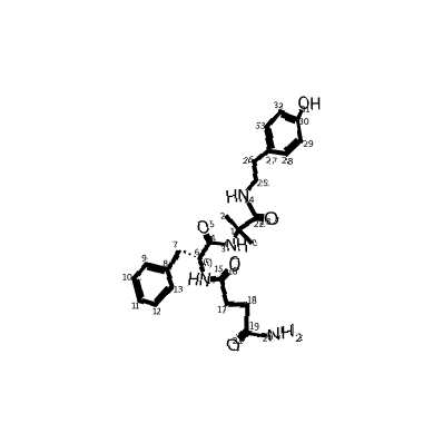 CC(C)(NC(=O)[C@@H](Cc1ccccc1)NC(=O)CCC(N)=O)C(=O)NCCc1ccc(O)cc1